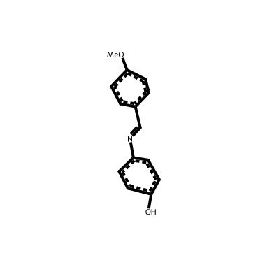 COc1ccc(C=Nc2ccc(O)cc2)cc1